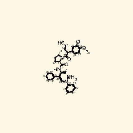 C=C(NC(=O)[C@H]1CC[C@H](C)N1C(=O)C(CCO)c1ccc(OC)c(Cl)c1)/C(=C\N(N)c1ccccc1)c1ccccc1